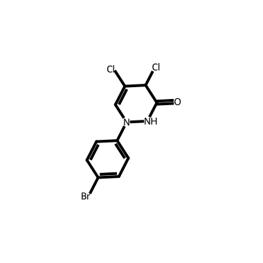 O=C1NN(c2ccc(Br)cc2)C=C(Cl)C1Cl